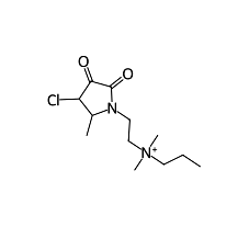 CCC[N+](C)(C)CCN1C(=O)C(=O)C(Cl)C1C